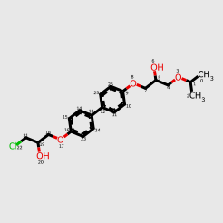 CC(C)OCC(O)COc1ccc(-c2ccc(OCC(O)CCl)cc2)cc1